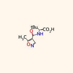 Cc1oncc1C(=O)N[C@H](C(=O)O)C(C)(C)C